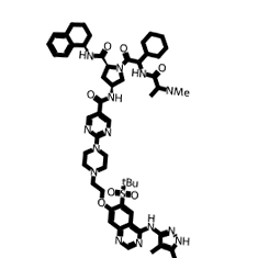 CNC(C)C(=O)NC(C(=O)N1C[C@@H](NC(=O)c2cnc(N3CCN(CCOc4cc5ncnc(Nc6n[nH]c(C)c6C)c5cc4S(=O)(=O)C(C)(C)C)CC3)nc2)C[C@H]1C(=O)N[C@@H]1CCCc2ccccc21)C1CCCCC1